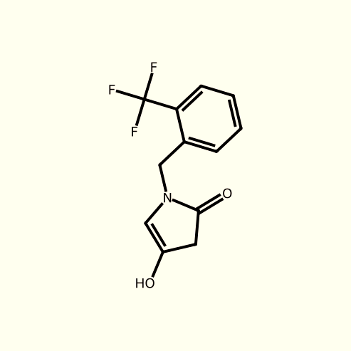 O=C1CC(O)=CN1Cc1ccccc1C(F)(F)F